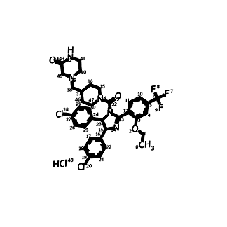 CCOc1cc(C(F)(F)F)ccc1C1=NC(c2ccc(Cl)cc2)C(c2ccc(Cl)cc2)N1C(=O)N1CCC(CN2CCNC(=O)C2)CC1.Cl